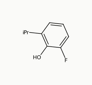 CC(C)c1cccc(F)c1O